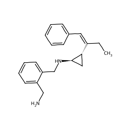 CCC(=Cc1ccccc1)[C@@H]1C[C@H]1NCc1ccccc1CN